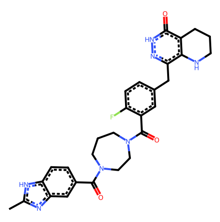 Cc1nc2cc(C(=O)N3CCCN(C(=O)c4cc(Cc5n[nH]c(=O)c6c5NCCC6)ccc4F)CC3)ccc2[nH]1